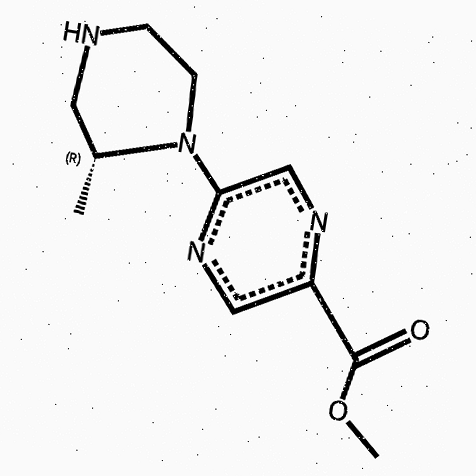 COC(=O)c1cnc(N2CCNC[C@H]2C)cn1